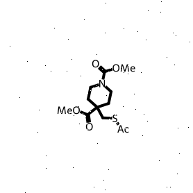 COC(=O)N1CCC(CSC(C)=O)(C(=O)OC)CC1